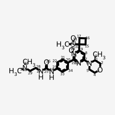 C[C@H]1COCCN1c1cc(C2(S(C)(=O)=O)CCC2)nc(-c2ccc(NC(=O)NCCN(C)C)cc2)n1